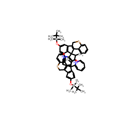 CC(C(=O)C(C)C1(C2=CC=CC=CN2)C2=C(CSc3ccccc32)c2cc(O[Si](C)(C)C(C)(C)C)ccc21)C1(C2=CC=CC=CN2)C2=C(CSc3ccccc32)c2cc(O[Si](C)(C)C(C)(C)C)ccc21